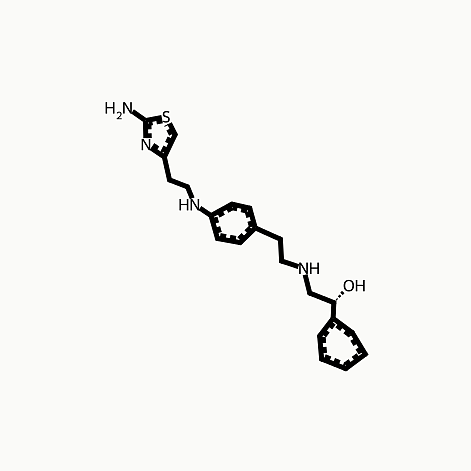 Nc1nc(CCNc2ccc(CCNC[C@H](O)c3ccccc3)cc2)cs1